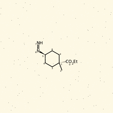 CCOC(=O)[C@]1(C)CC[C@@H](N=N)CC1